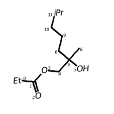 CCC(=O)OCC(C)(O)CCCC(C)C